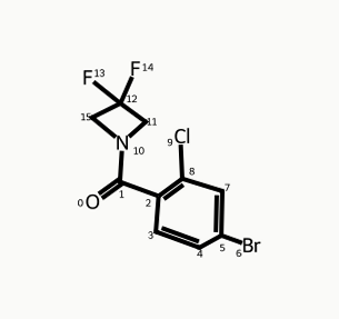 O=C(c1ccc(Br)cc1Cl)N1CC(F)(F)C1